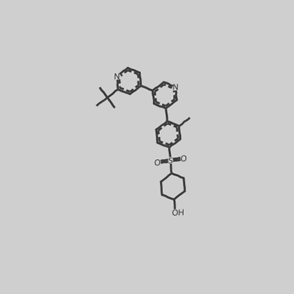 Cc1cc(S(=O)(=O)C2CCC(O)CC2)ccc1-c1cncc(-c2ccnc(C(C)(C)C)c2)c1